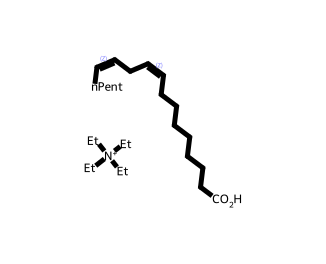 CCCCC/C=C\C/C=C\CCCCCCCC(=O)O.CC[N+](CC)(CC)CC